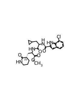 COC(=O)C(C[C@@H]1CCCNC1=O)NC(=O)C(CC1CC1)NC(=O)c1cc2cccc(Cl)c2[nH]1